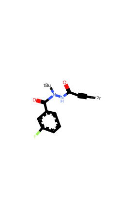 CC(C)C#CC(=O)NN(C(=O)c1cccc(F)c1)C(C)(C)C